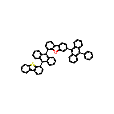 c1ccc(-c2c3ccccc3c(-c3ccc4c(c3)oc3c(-c5c6ccccc6c(-c6cccc7c6sc6ccccc67)c6ccccc56)cccc34)c3ccccc23)cc1